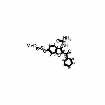 COOSOc1ccc2c(NC(N)=O)c(C(=O)c3ccccc3)oc2c1